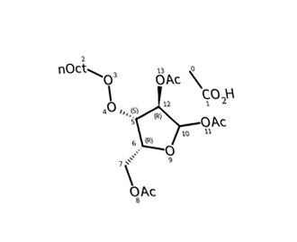 CC(=O)O.CCCCCCCCOO[C@H]1[C@@H](COC(C)=O)OC(OC(C)=O)[C@@H]1OC(C)=O